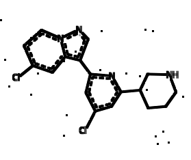 Clc1cc(-c2cnn3ccc(Cl)cc23)nc(C2CCCNC2)c1